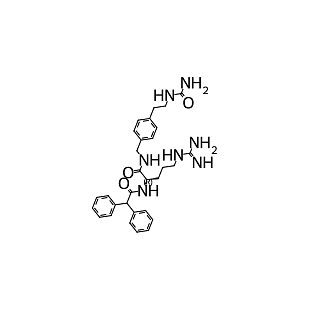 N=C(N)NCCC[C@@H](NC(=O)C(c1ccccc1)c1ccccc1)C(=O)NCc1ccc(CCNC(N)=O)cc1